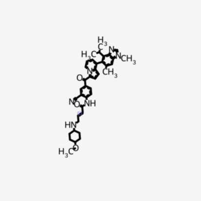 COC1CCC(NC/C=C/C(=O)Nc2ccc(C(=O)c3ccc4c(-c5c(C)cc6c(ncn6C)c5C(C)C)cccn34)cc2C#N)CC1